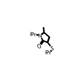 CC(C)SC1CC(C)N(C(C)C)C1=O